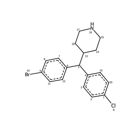 Clc1ccc(C(c2ccc(Br)cc2)C2CCNCC2)cc1